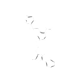 Cc1oc(-c2ccccc2)nc1CCOc1ccc(CCC(=O)O)c(CNc2ccccn2)c1